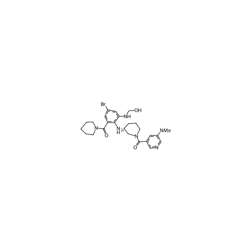 CNc1cncc(C(=O)N2CCC[C@@H](Nc3c(NCO)cc(Br)cc3C(=O)N3CCCCC3)C2)c1